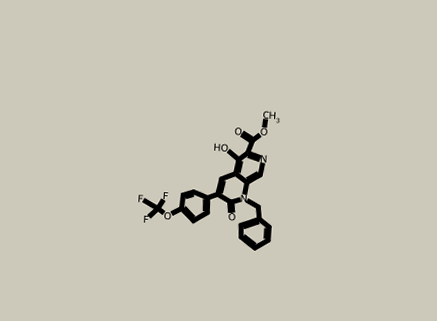 COC(=O)c1ncc2c(cc(-c3ccc(OC(F)(F)F)cc3)c(=O)n2Cc2ccccc2)c1O